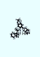 CC1(C)Cc2cc(NC(=O)c3cnn4cccnc34)c(N3Cc4cn[nH]c4C3)cc2O1